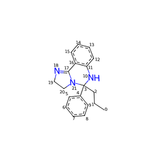 CCCC1(c2ccccc2)Nc2ccccc2C2=NCCN21